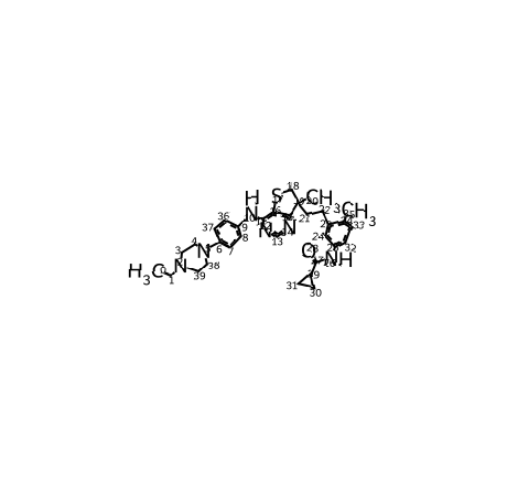 CCN1CCN(c2ccc(Nc3ncnc4c3SCC4(C)CCc3cc(NC(=O)C4CC4)ccc3C)cc2)CC1